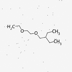 [CH2]COCCOCC(CC)CC